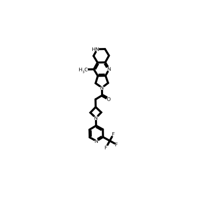 Cc1c2c(nc3c1CN(C(=O)CC1CN(c4ccnc(C(F)(F)F)c4)C1)C3)CCNC2